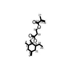 C=C1CC(C)C(C)(OC(=O)CCOC(=O)C(=C)C)C(CC)C1